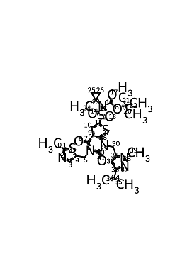 Cc1ncc(Cn2c(=O)c3cc(S(=O)(=O)N(C(=O)OC(C)(C)C)C4(C)CC4)sc3n(Cc3cc(C(C)C)nn3C)c2=O)s1